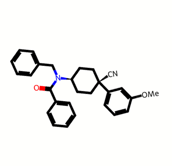 COc1cccc([C@]2(C#N)CC[C@@H](N(Cc3ccccc3)C(=O)c3ccccc3)CC2)c1